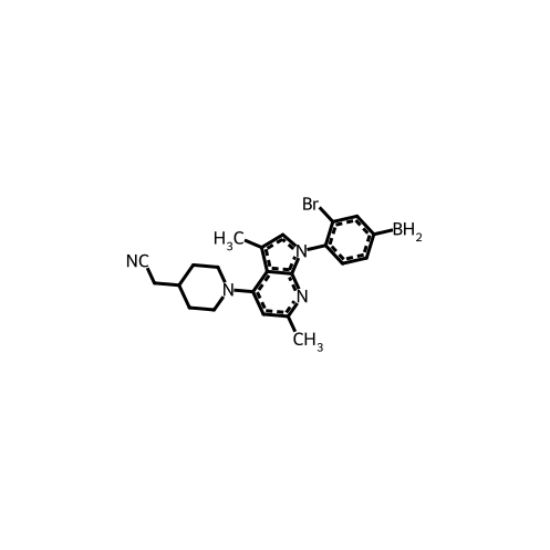 Bc1ccc(-n2cc(C)c3c(N4CCC(CC#N)CC4)cc(C)nc32)c(Br)c1